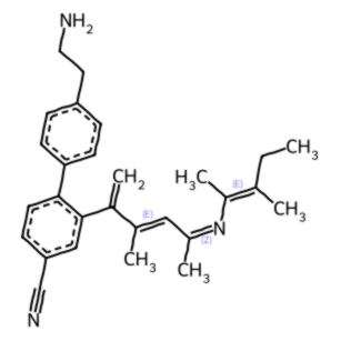 C=C(/C(C)=C/C(C)=N\C(C)=C(/C)CC)c1cc(C#N)ccc1-c1ccc(CCN)cc1